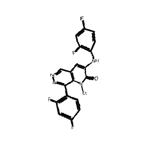 CCn1c(=O)c(Nc2ccc(F)cc2F)cc2cnnc(-c3ccc(F)cc3F)c21